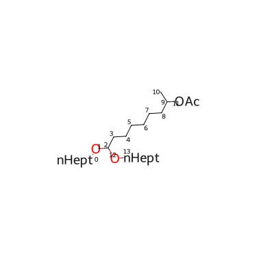 CCCCCCCOC(CCCCCCC(C)OC(C)=O)OCCCCCCC